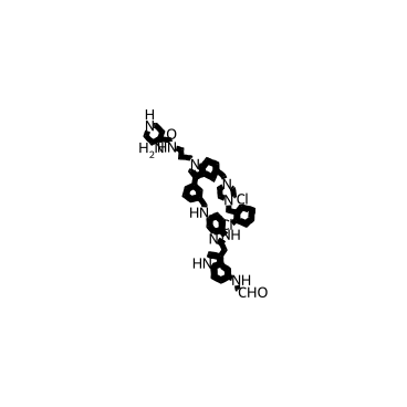 NC1(C(=O)NCCCn2cc(-c3cccc(CNc4ccc5[nH]c(Cc6c[nH]c7ccc(NCC=O)cc67)nc5c4)c3)c3cc(CN4CCN(Cc5c(Cl)cccc5Cl)CC4)ccc32)CCNCC1